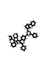 C1=CC2=C(CC1)C1(c3ccccc3Sc3ccccc31)c1ccc3c(-c4ccccc4)nc4cc(-c5nc(-c6ccccc6)nc(-c6cccc7c6oc6ccccc67)n5)ccc4c3c12